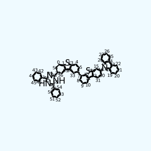 C1=c2sc3ccc(-c4cccc5c4sc4cc(-n6c7ccccc7c7ccccc76)ccc45)cc3c2=CC(C2N=C(c3ccccc3)NC(c3ccccc3)N2)C1